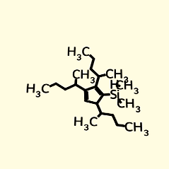 CCCC(C)C1=CC(C(C)CCC)C([SiH](C)C)=C1C(C)CCC